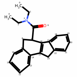 CCN(CC)C(=O)C1Cc2ccccc2C2=C1c1ccccc1C2